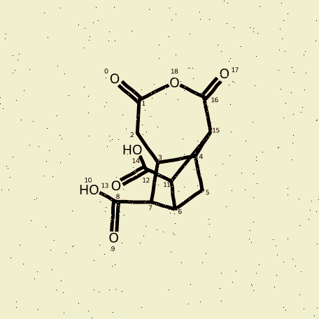 O=C1CC2C3CC(C2C(=O)O)C(C(=O)O)C3C(=O)O1